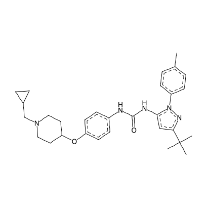 Cc1ccc(-n2nc(C(C)(C)C)cc2NC(=O)Nc2ccc(OC3CCN(CC4CC4)CC3)cc2)cc1